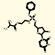 CC(C)C(=O)OCCNP(=O)(OCC1CC(Cl)C(n2ccc(=O)[nH]c2=O)O1)Oc1ccccc1